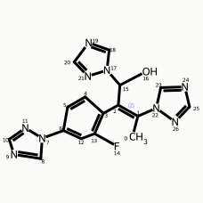 C/C(=C(\c1ccc(-n2cncn2)cc1F)C(O)n1cncn1)n1cncn1